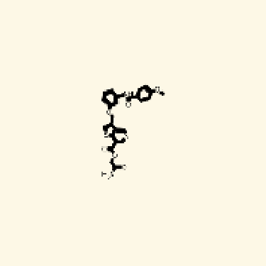 COc1ccc(C(=O)Nc2cccc(OCc3csc4c(C(=O)OCC(N)=O)cncc34)c2)cc1